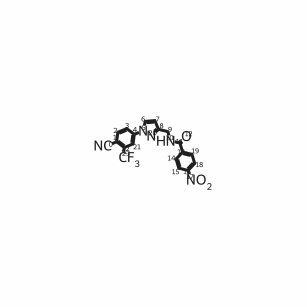 N#Cc1ccc(-n2ccc(CNC(=O)c3ccc([N+](=O)[O-])cc3)n2)cc1C(F)(F)F